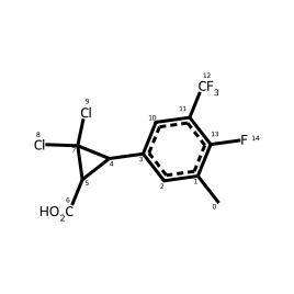 Cc1cc(C2C(C(=O)O)C2(Cl)Cl)cc(C(F)(F)F)c1F